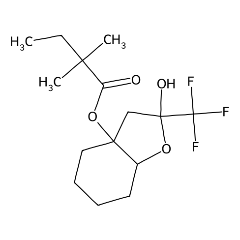 CCC(C)(C)C(=O)OC12CCCCC1OC(O)(C(F)(F)F)C2